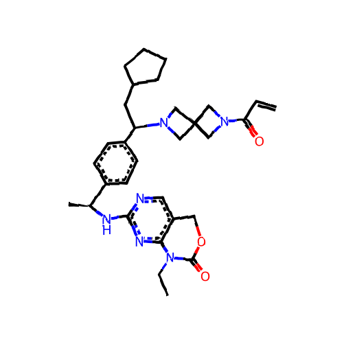 C=CC(=O)N1CC2(C1)CN(C(CC1CCCC1)c1ccc([C@H](C)Nc3ncc4c(n3)N(CC)C(=O)OC4)cc1)C2